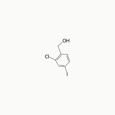 OCc1ccc(I)cc1Cl